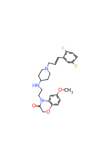 COc1ccc2c(c1)N(CCNC1CCN(CC=Cc3cc(F)ccc3F)CC1)C(=O)CO2